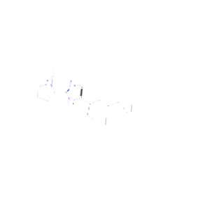 CCCCC(CC)c1cnc([C@@H]2CCCN2I)[nH]1